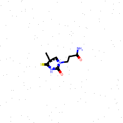 Cc1cn(CCC(N)=O)c(=O)[nH]c1=S